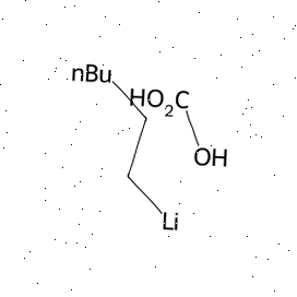 O=C(O)O.[Li][CH2]CCCCC